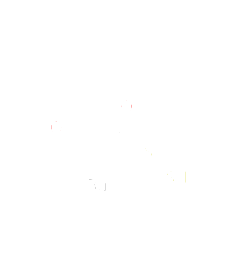 CC(C)(C)C1OCCOC1S(C)(C)S